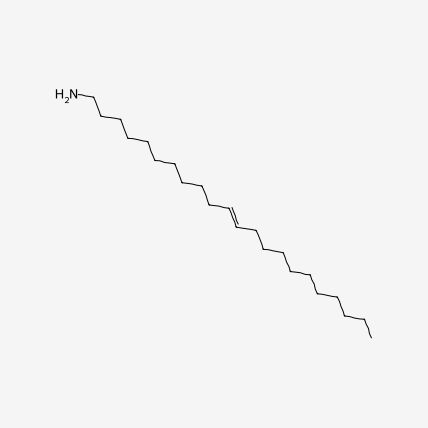 CCCCCCCCCC/C=C/CCCCCCCCCCN